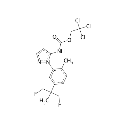 Cc1ccc(C(C)(CF)CF)cc1-n1nccc1NC(=O)OCC(Cl)(Cl)Cl